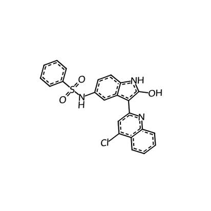 O=S(=O)(Nc1ccc2[nH]c(O)c(-c3cc(Cl)c4ccccc4n3)c2c1)c1ccccc1